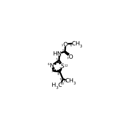 COC(=O)Nc1ncc(C(C)C)s1